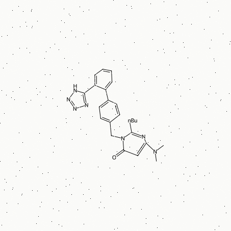 CCCCc1nc(N(C)C)cc(=O)n1Cc1ccc(-c2ccccc2-c2nnn[nH]2)cc1